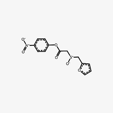 O=C(C[S+]([O-])Cc1ccco1)Oc1ccc([N+](=O)[O-])cc1